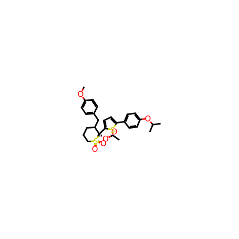 COc1ccc(CC2CCCS(=O)(=O)[C@]2(OC(C)=O)c2ccc(-c3ccc(OC(C)C)cc3)s2)cc1